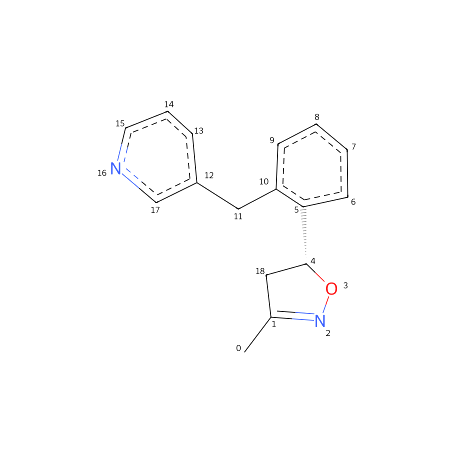 CC1=NO[C@@H](c2ccccc2Cc2cccnc2)C1